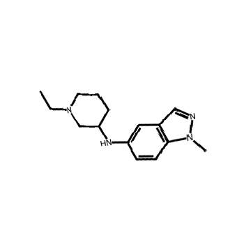 CCN1CCCC(Nc2ccc3c(cnn3C)c2)C1